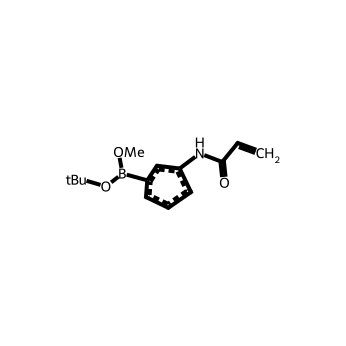 C=CC(=O)Nc1cccc(B(OC)OC(C)(C)C)c1